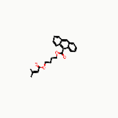 CC(C)=CC(=O)OCCCCOC(=O)c1c2ccccc2cc2ccccc12